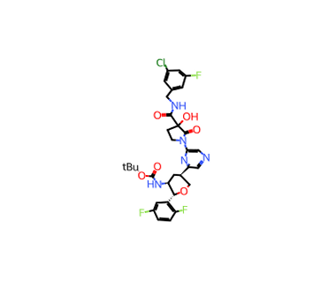 CC(C)(C)OC(=O)N[C@H]1C[C@@H](c2cncc(N3CCC(O)(C(=O)NCc4cc(F)cc(Cl)c4)C3=O)n2)CO[C@@H]1c1cc(F)ccc1F